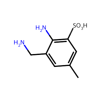 Cc1cc(CN)c(N)c(S(=O)(=O)O)c1